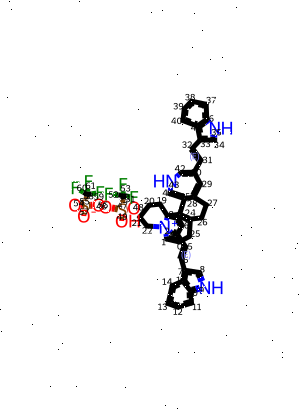 C1=C[N+]23C=C(/C=C/c4c[nH]c5ccccc45)C=CC2(CCCC3)C2=C(C1)CCC1=CC(/C=C/c3c[nH]c4ccccc34)=CNC=C12.O=S(=O)(O)C(F)(F)F.O=S(=O)([O-])C(F)(F)F